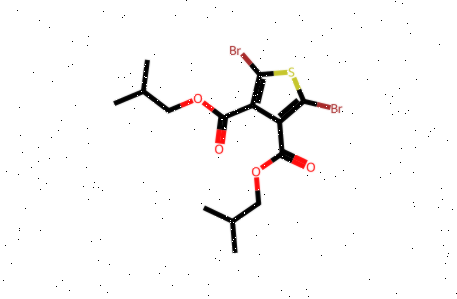 CC(C)COC(=O)c1c(Br)sc(Br)c1C(=O)OCC(C)C